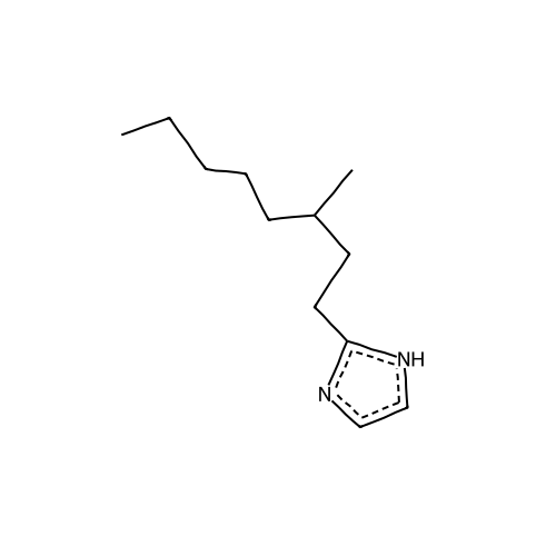 CCCCCC(C)CCc1ncc[nH]1